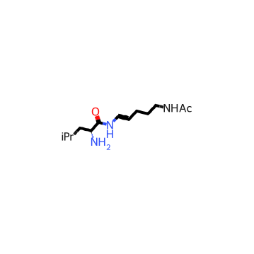 CC(=O)NCCC/C=C/NC(=O)[C@H](N)CC(C)C